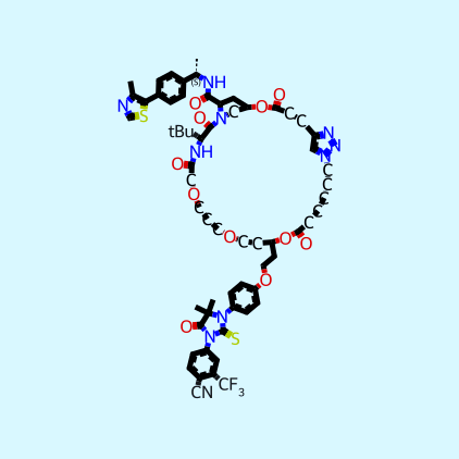 Cc1ncsc1-c1ccc([C@H](C)NC(=O)C2CC3CN2C(=O)C(C(C)(C)C)NC(=O)COCCCOCCC(CCOc2ccc(N4C(=S)N(c5ccc(C#N)c(C(F)(F)F)c5)C(=O)C4(C)C)cc2)OC(=O)CCCCCn2cc(nn2)CCC(=O)O3)cc1